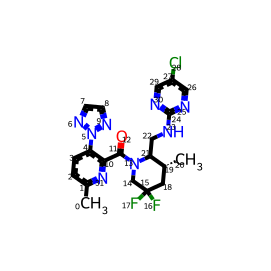 Cc1ccc(-n2nccn2)c(C(=O)N2CC(F)(F)C[C@@H](C)C2CNc2ncc(Cl)cn2)n1